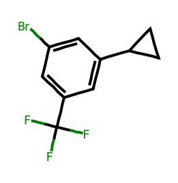 FC(F)(F)c1cc(Br)cc(C2CC2)c1